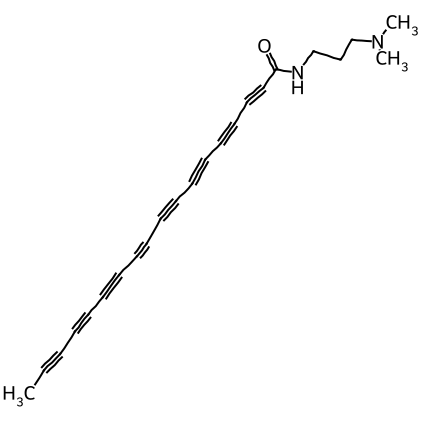 CC#CC#CC#CC#CC#CC#CC#CC#CC(=O)NCCCN(C)C